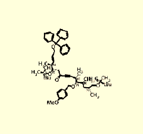 COc1ccc(CO[C@H]([C@H](C)C[C@@H](C)CO[Si](C)(C)C(C)(C)C)[C@@H](C)C#CC(=O)C[C@H](O[Si](C)(C)C(C)(C)C)[C@@H](C)C=CCOC(c2ccccc2)(c2ccccc2)c2ccccc2)cc1